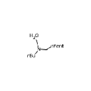 CCCCCCN(C)CCCC.O